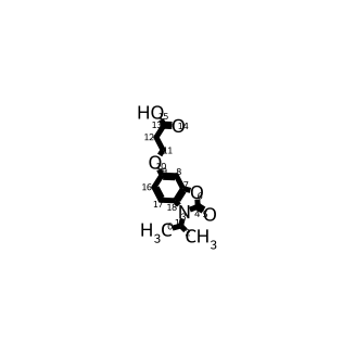 CC(C)n1c(=O)oc2cc(OCCC(=O)O)ccc21